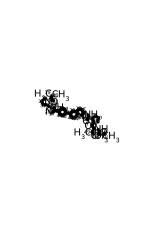 COC(=O)N[C@H](C(=O)N1CCC[C@H]1C(=O)Nc1ccc2cc(-c3ccc(-c4cnc(C5CCCN5C(=O)C(C)C)[nH]4)cc3)ccc2n1)C(C)C